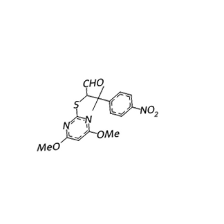 COc1cc(OC)nc(SC(C=O)C(C)(C)c2ccc([N+](=O)[O-])cc2)n1